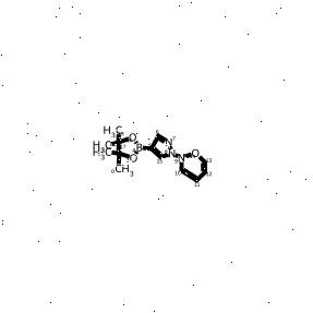 CC1(C)OB(c2cnn(N3C=CC=CO3)c2)OC1(C)C